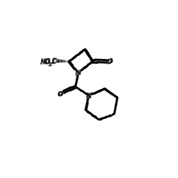 O=C(O)[C@@H]1CC(=O)N1C(=O)N1CCCCC1